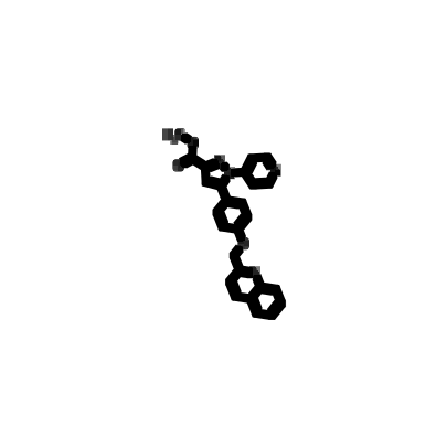 COC(=O)c1cc(-c2ccc(OCc3ccc4ccccc4n3)cc2)n(-c2ccncc2)n1